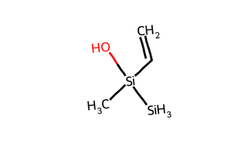 C=C[Si](C)(O)[SiH3]